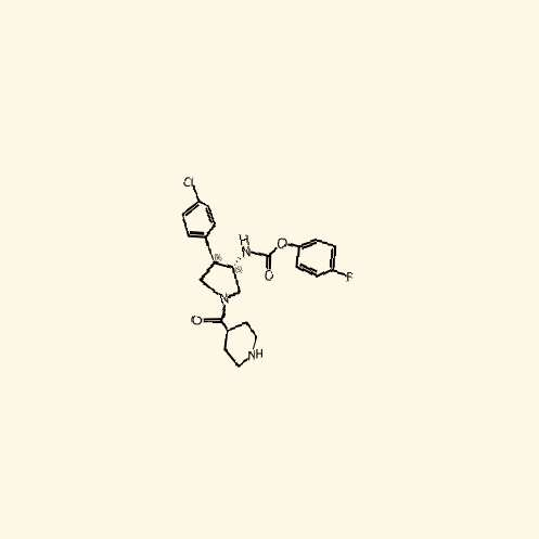 O=C(N[C@@H]1CN(C(=O)C2CCNCC2)C[C@H]1c1ccc(Cl)cc1)Oc1ccc(F)cc1